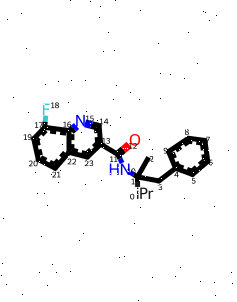 CC(C)C(C)(Cc1ccccc1)NC(=O)c1cnc2c(F)cccc2c1